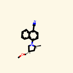 COC[C@H]1C[C@H](C)N(c2ccc(C#N)c3ccccc23)C1